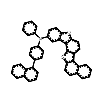 c1ccc(N(c2ccc(-c3cccc4ccccc34)cc2)c2ccc3oc4ccc5c(sc6ccc7ccccc7c65)c4c3c2)cc1